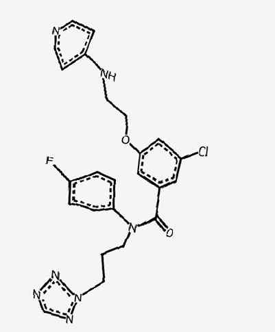 O=C(c1cc(Cl)cc(OCCNc2ccncc2)c1)N(CCCn1ncnn1)c1ccc(F)cc1